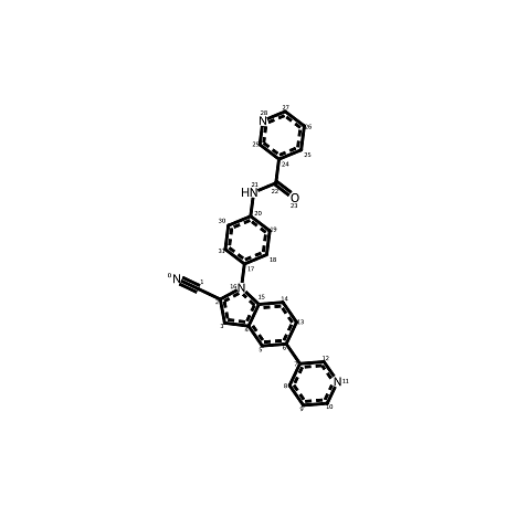 N#Cc1cc2cc(-c3cccnc3)ccc2n1-c1ccc(NC(=O)c2cccnc2)cc1